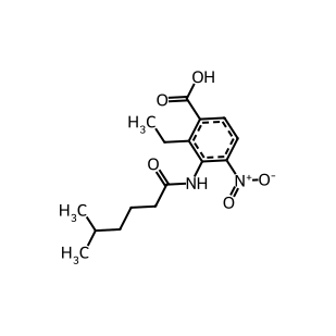 CCc1c(C(=O)O)ccc([N+](=O)[O-])c1NC(=O)CCCC(C)C